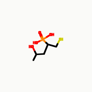 CC(O)CC(CS)P(=O)(O)O